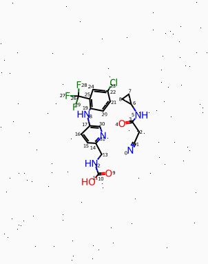 N#CCC(=O)NC1CC1.O=C(O)NCc1ccc(Nc2ccc(Cl)cc2C(F)(F)F)cn1